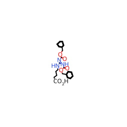 O=C(O)CCCCNC(=NC(=O)OCc1ccccc1)NC(=O)OCc1ccccc1